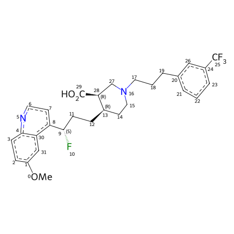 COc1ccc2nccc([C@@H](F)CC[C@@H]3CCN(CCCc4cccc(C(F)(F)F)c4)C[C@@H]3C(=O)O)c2c1